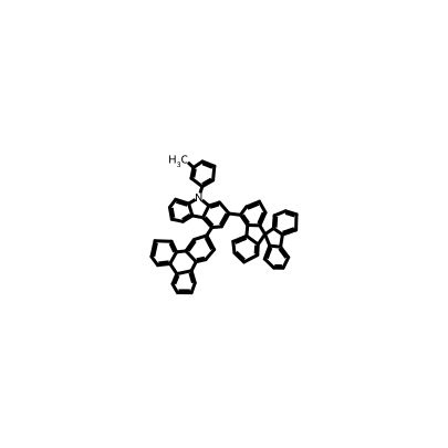 Cc1cccc(-n2c3ccccc3c3c(-c4ccc5c6ccccc6c6ccccc6c5c4)cc(-c4cccc5c4-c4ccccc4C54c5ccccc5-c5ccccc54)cc32)c1